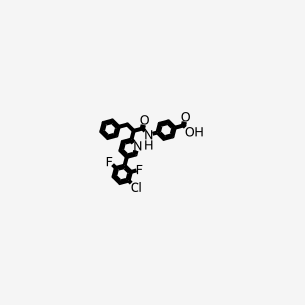 O=C(O)c1ccc(NC(=O)C(Cc2ccccc2)c2ccc(-c3c(F)ccc(Cl)c3F)cn2)cc1